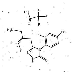 NCC(Cc1n[nH]c(=O)n1-c1ccc(Br)cc1F)=C(F)F.O=C(O)C(F)(F)F